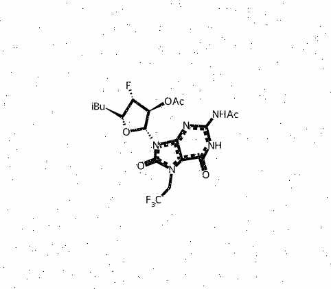 CC[C@H](C)[C@H]1O[C@@H](n2c(=O)n(CC(F)(F)F)c3c(=O)[nH]c(NC(C)=O)nc32)[C@H](OC(C)=O)[C@H]1F